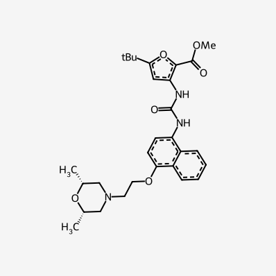 COC(=O)c1oc(C(C)(C)C)cc1NC(=O)Nc1ccc(OCCN2C[C@@H](C)O[C@@H](C)C2)c2ccccc12